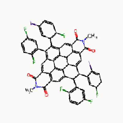 CN1C(=O)C2=Cc3c(C4C=C(I)C=CC4F)c(-c4cc(F)ccc4F)c4cc5c6c(cc7c8c6c4c3C3C2=C(C=C(C(C2=CC(F)CC=C2I)C7c2cc(F)ccc2F)C83)C1=O)C(=O)N(C)C5=O